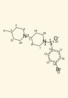 CC1CCN(C2CCN([S+]([O-])c3ccc(Br)cc3)CC2)CC1